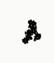 C#Cc1cccc2cccc(-c3ncc4c(N5CC[C@@H]6CN(C(=O)/C(F)=C/c7ncccn7)C[C@@H]65)nc(OC[C@@]56CCCN5C[C@H](F)C6)nc4c3F)c12